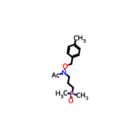 CC(=O)N(CCCP(C)(C)=O)OCc1ccc(C)cc1